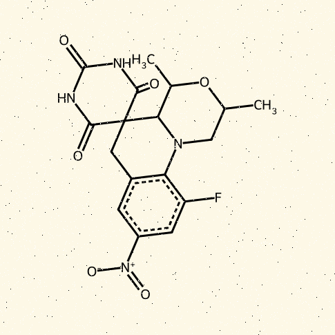 CC1CN2c3c(F)cc([N+](=O)[O-])cc3CC3(C(=O)NC(=O)NC3=O)C2C(C)O1